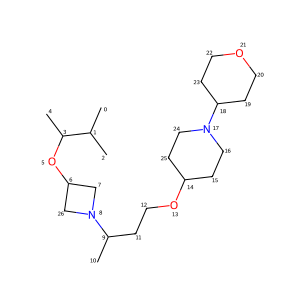 CC(C)C(C)OC1CN(C(C)CCOC2CCN(C3CCOCC3)CC2)C1